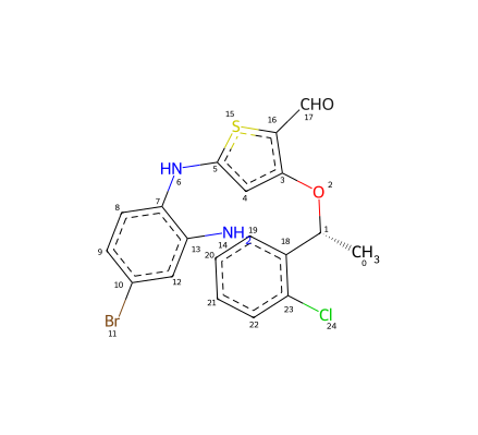 C[C@@H](Oc1cc(Nc2ccc(Br)cc2N)sc1C=O)c1ccccc1Cl